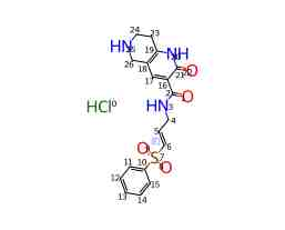 Cl.O=C(NC/C=C/S(=O)(=O)c1ccccc1)c1cc2c([nH]c1=O)CCNC2